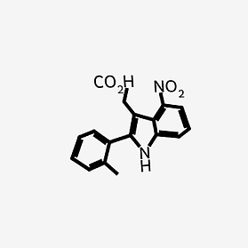 Cc1ccccc1-c1[nH]c2cccc([N+](=O)[O-])c2c1CC(=O)O